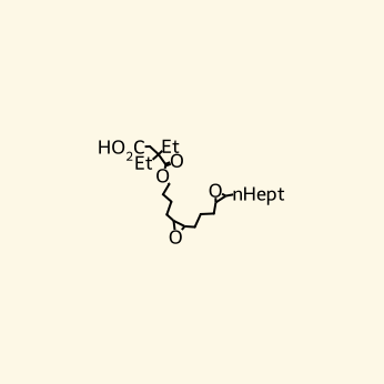 CCCCCCCC1OC1CCCC1OC1CCCCOC(=O)C(CC)(CC)CC(=O)O